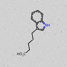 O=C(O)CCCCc1c[nH]c2ccccc12